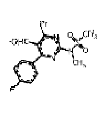 CC(C)c1nc(N(C)S(C)(=O)=O)nc(-c2ccc(F)cc2)c1[C]=O